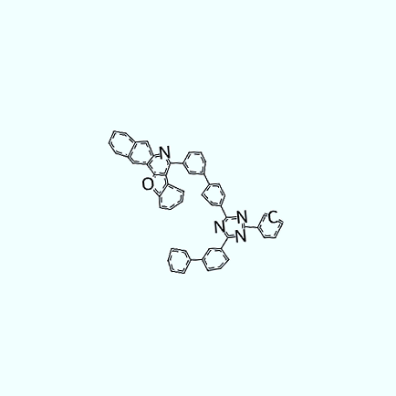 c1ccc(-c2cccc(-c3nc(-c4ccccc4)nc(-c4ccc(-c5cccc(-c6nc7cc8ccccc8cc7c7oc8ccccc8c67)c5)cc4)n3)c2)cc1